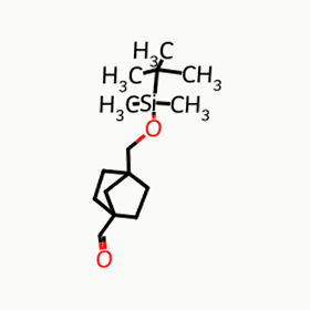 CC(C)(C)[Si](C)(C)OCC12CCC(C=O)(CC1)C2